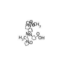 COC(=O)N1c2ccc3c(nc(C(C)CN4CCCCC4=O)n3C3CCCC(C(=O)O)C3)c2CC[C@@H]1C